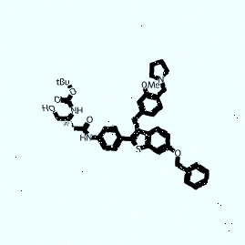 COc1cc(Cc2c(-c3ccc(NC(=O)C[C@H](CO)NC(=O)OC(C)(C)C)cc3)sc3cc(OCc4ccccc4)ccc23)ccc1CN1CCCC1